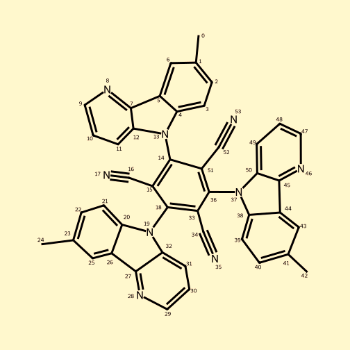 Cc1ccc2c(c1)c1ncccc1n2-c1c(C#N)c(-n2c3ccc(C)cc3c3ncccc32)c(C#N)c(-n2c3ccc(C)cc3c3ncccc32)c1C#N